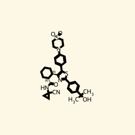 CC(C)(O)c1ccc(-c2nc([C@@H]3CCCC[C@H]3C(=O)NC3(C#N)CC3)c(-c3ccc(N4CCS(=O)(=O)CC4)cc3)s2)cc1